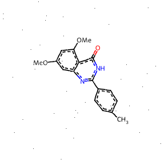 COc1cc(OC)c2c(=O)[nH]c(-c3ccc(C)cc3)nc2c1